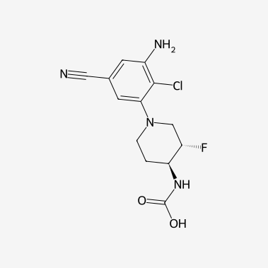 N#Cc1cc(N)c(Cl)c(N2CC[C@H](NC(=O)O)[C@@H](F)C2)c1